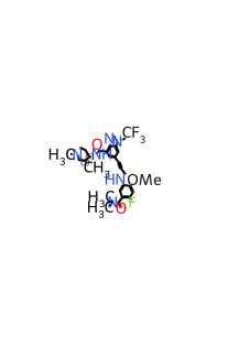 COc1cc(F)c(C(=O)N(C)C)cc1NCC#Cc1cc(C(=O)N[C@H]2CCN(C)C[C@@H]2C)c2ncn(CC(F)(F)F)c2c1